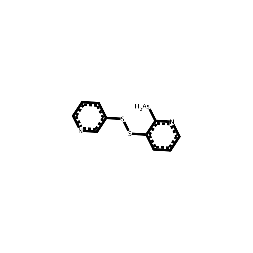 [AsH2]c1ncccc1SSc1cccnc1